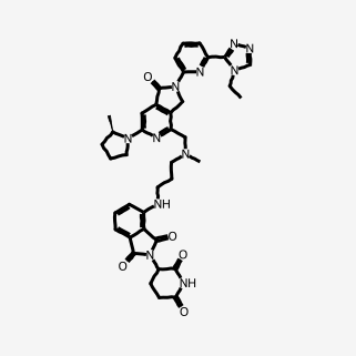 CCn1cnnc1-c1cccc(N2Cc3c(cc(N4CCC[C@H]4C)nc3CN(C)CCCNc3cccc4c3C(=O)N(C3CCC(=O)NC3=O)C4=O)C2=O)n1